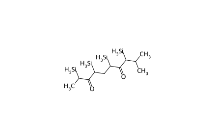 CC([SiH3])C(=O)C([SiH3])CC([SiH3])C(=O)C([SiH3])C(C)C